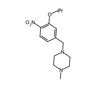 CC(C)Oc1cc(CN2CCN(C)CC2)ccc1[N+](=O)[O-]